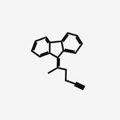 C#CCCC(C)=C1c2ccccc2-c2ccccc21